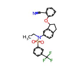 CCN(c1ccc2c(c1)C(Oc1ccccc1C#N)CC2)S(=O)(=O)c1cccc(C(F)(F)F)c1